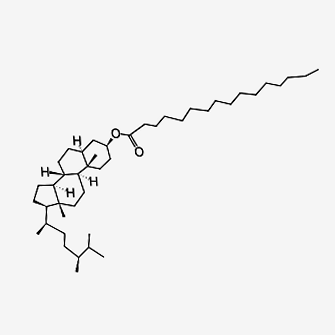 CCCCCCCCCCCCCCCC(=O)O[C@H]1CC[C@@]2(C)[C@@H](CC[C@@H]3[C@@H]2CC[C@]2(C)[C@@H]([C@H](C)CC[C@H](C)C(C)C)CC[C@@H]32)C1